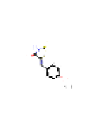 CC(C)Oc1ccc(/C=C2\SC(=S)NC2=O)cc1